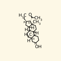 CC[C@@H]1C[C@H]2[C@@H]3CC[C@H]4C[C@@H](O)CC[C@]4(C)[C@H]3CC[C@]2(C)[C@H]1C(C)=O